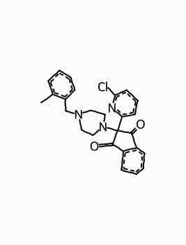 Cc1ccccc1CN1CCN(C2(c3cccc(Cl)n3)C(=O)c3ccccc3C2=O)CC1